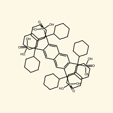 O=P(O)(O)C(c1cc2cc(C(C3CCCCC3)(C3CCCCC3)P(=O)(O)O)c(C(C3CCCCC3)(C3CCCCC3)P(=O)(O)O)cc2cc1C(C1CCCCC1)(C1CCCCC1)P(=O)(O)O)(C1CCCCC1)C1CCCCC1